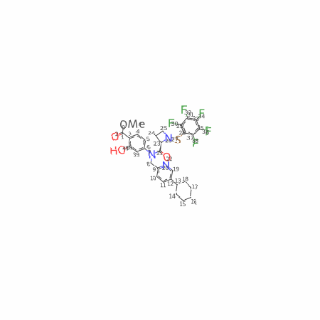 COC(=O)c1ccc(N(Cc2ccc(C3CCCCC3)cn2)C(=O)[C@H]2CCN2Sc2c(F)c(F)c(F)c(F)c2F)cc1O